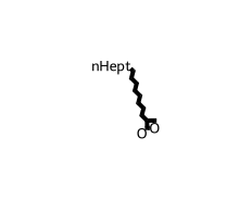 CCCCCCCCCCCCCCCC1COC1=O